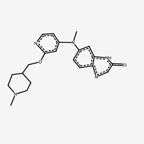 CN1CCC(COc2cc(N(C)c3ccc4ncc(=O)[nH]c4c3)ccn2)CC1